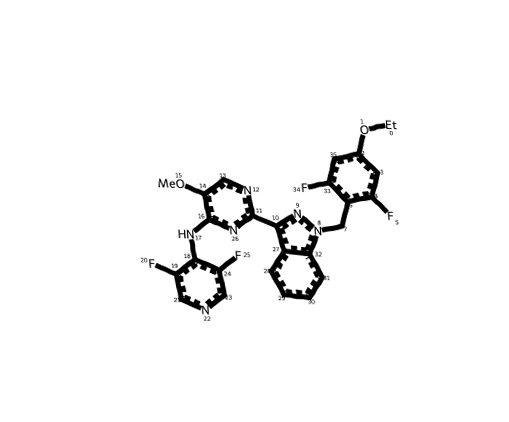 CCOc1cc(F)c(Cn2nc(-c3ncc(OC)c(Nc4c(F)cncc4F)n3)c3ccccc32)c(F)c1